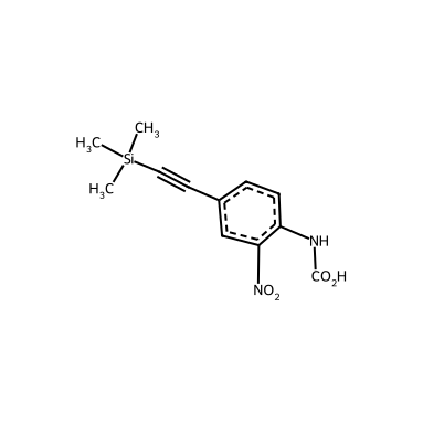 C[Si](C)(C)C#Cc1ccc(NC(=O)O)c([N+](=O)[O-])c1